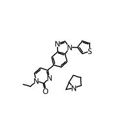 C1CC2CN2C1.CCn1ccc(-c2ccc3c(c2)ncn3-c2ccsc2)nc1=O